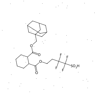 O=C(OCCC(F)(F)C(F)(F)S(=O)(=O)O)C1CCCCC1C(=O)OCC12CC3CC(CC(C3)C1)C2